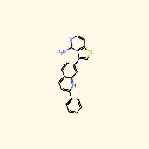 Nc1nccc2scc(-c3ccc4ccc(-c5ccccc5)nc4c3)c12